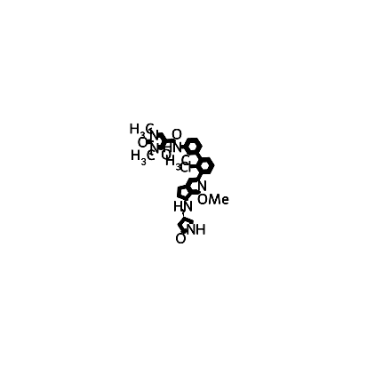 COc1nc(-c2cccc(-c3cccc(NC(=O)c4cn(C)c(=O)n(C)c4=O)c3C)c2Cl)cc2c1C(NC[C@@H]1CNC(=O)C1)CC2